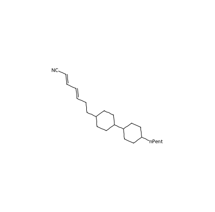 CCCCCC1CCC(C2CCC(CCC=CC=CC#N)CC2)CC1